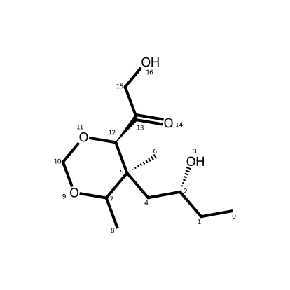 CC[C@@H](O)C[C@@]1(C)C(C)OCO[C@H]1C(=O)CO